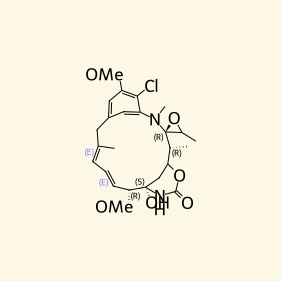 COc1cc2cc(c1Cl)N(C)[C@@]1(OC1C)[C@H](C)C1C[C@@](O)(NC(=O)O1)[C@H](OC)/C=C/C=C(\C)C2